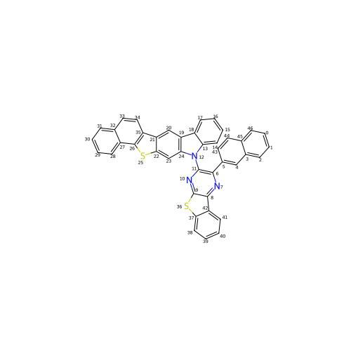 c1ccc2cc(-c3nc4c(nc3-n3c5ccccc5c5cc6c(cc53)sc3c5ccccc5ccc63)sc3ccccc34)ccc2c1